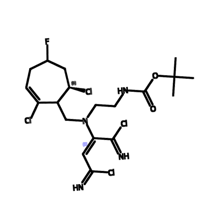 CC(C)(C)OC(=O)NCCN(CC1C(Cl)=CCC(F)C[C@H]1Cl)/C(=C/C(=N)Cl)C(=N)Cl